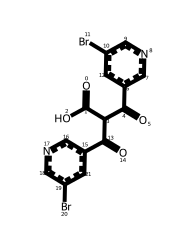 O=C(O)C(C(=O)c1cncc(Br)c1)C(=O)c1cncc(Br)c1